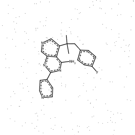 CC(C)(Cc1ccc(F)cc1)c1cncc2nc(-c3ccncc3)nc(N)c12